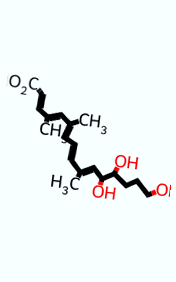 CC(=CC=CC(C)=CC(O)C(O)CCCO)C=C(C)C=CC(=O)O